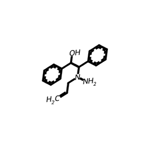 C=CCN(N)C(c1ccccc1)C(O)c1ccccc1